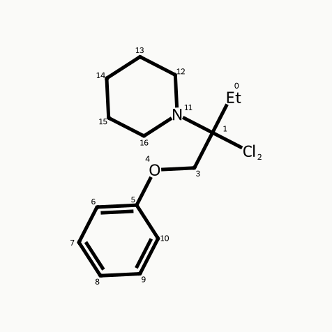 CCC(Cl)(COc1ccccc1)N1CCCCC1